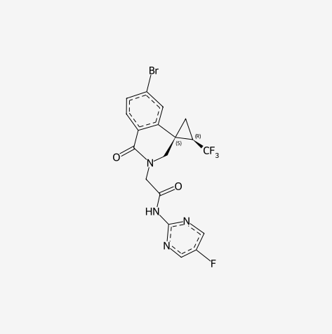 O=C(CN1C[C@]2(C[C@H]2C(F)(F)F)c2cc(Br)ccc2C1=O)Nc1ncc(F)cn1